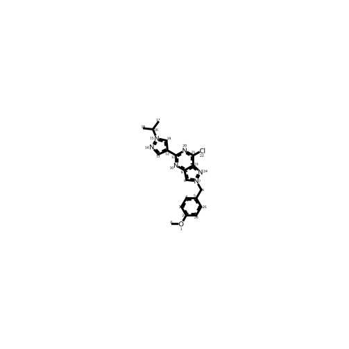 COc1ccc(Cn2cc3nc(-c4cnn(C(C)C)c4)nc(Cl)c3n2)cc1